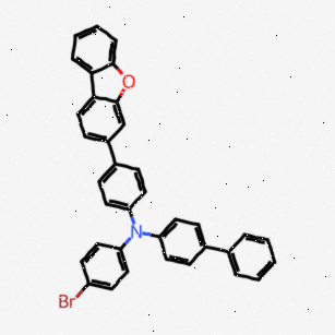 Brc1ccc(N(c2ccc(-c3ccccc3)cc2)c2ccc(-c3ccc4c(c3)oc3ccccc34)cc2)cc1